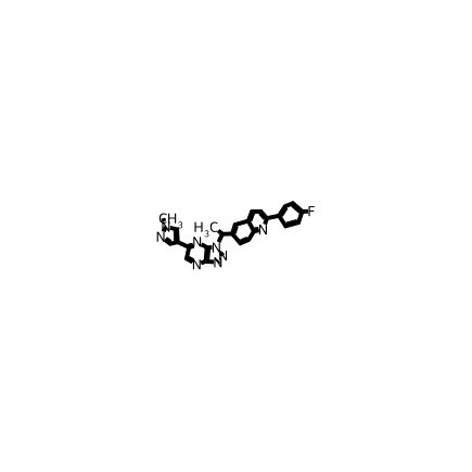 CC(c1ccc2nc(-c3ccc(F)cc3)ccc2c1)n1nnc2ncc(-c3cnn(C)c3)nc21